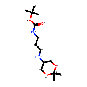 CC(C)(C)OC(=O)NCCCNC1COC(C)(C)OC1